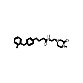 Cc1ccccc1Cc1ccc(CCCC(=O)NCCN2CCN(C)C(=O)C2)cc1